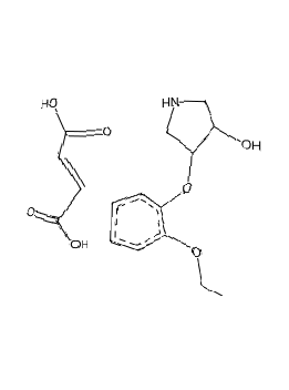 CCOc1ccccc1OC1CNCC1O.O=C(O)C=CC(=O)O